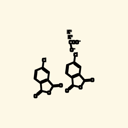 O=C([O-])[O-].O=C1OC(=O)c2cc(Cl)ccc21.O=C1OC(=O)c2cc(Cl)ccc21.[K+].[K+]